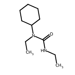 CCNC(=O)N(CC)C1CCCCC1